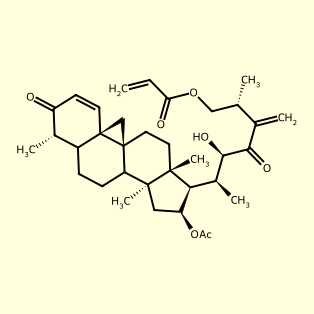 C=CC(=O)OC[C@H](C)C(=C)C(=O)[C@H](O)[C@@H](C)[C@H]1[C@@H](OC(C)=O)C[C@@]2(C)C3CCC4[C@H](C)C(=O)C=C[C@@]45C[C@@]35CC[C@]12C